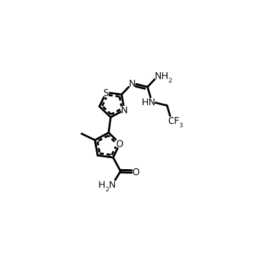 Cc1cc(C(N)=O)oc1-c1csc(N=C(N)NCC(F)(F)F)n1